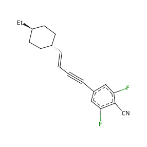 CC[C@H]1CC[C@H](C=CC#Cc2cc(F)c(C#N)c(F)c2)CC1